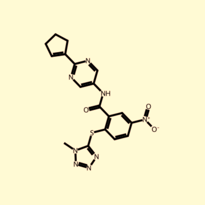 Cn1nnnc1Sc1ccc([N+](=O)[O-])cc1C(=O)Nc1cnc(C2=CCCC2)nc1